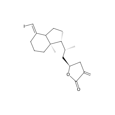 C=C1C[C@H](C[C@@H](C)[C@H]2CCC3C(=CI)CCC[C@@]32C)OC1=O